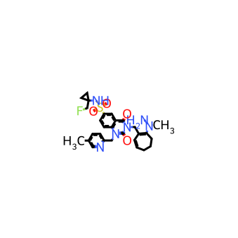 Cc1ccc(Cn2c(=O)n(CC3=C(N(C)N)CCCC=C3)c(=O)c3cc(S(=O)(=O)NC4(CF)CC4)ccc32)nc1